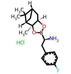 CC1(C)[C@@H]2C[C@H]3OB([C@@H](N)Cc4ccc(F)cc4)O[C@@]3(C)[C@H]1C2.Cl